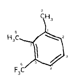 Cc1cc[c]c(C(F)(F)F)c1C